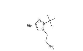 Br.CC(C)(C)c1nccn1CCN